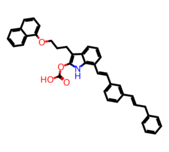 O=C(O)Oc1[nH]c2c(/C=C/c3cccc(/C=C/Cc4ccccc4)c3)cccc2c1CCCOc1cccc2ccccc12